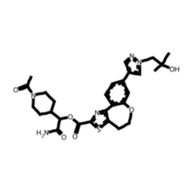 CC(=O)N1CCC(C(OC(=O)c2nc3c(s2)CCOc2cc(-c4cnn(CC(C)(C)O)c4)ccc2-3)C(N)=O)CC1